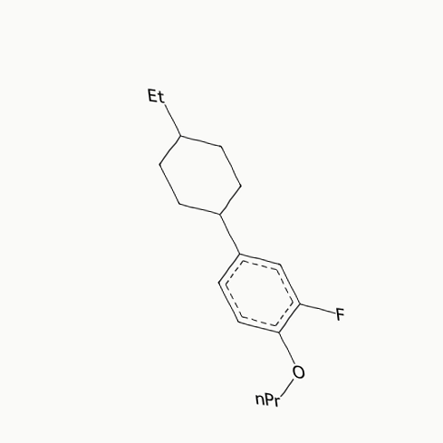 CCCOc1ccc(C2CCC(CC)CC2)cc1F